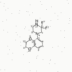 FC1(F)CN(c2cccc3c2OCCO3)CCN1